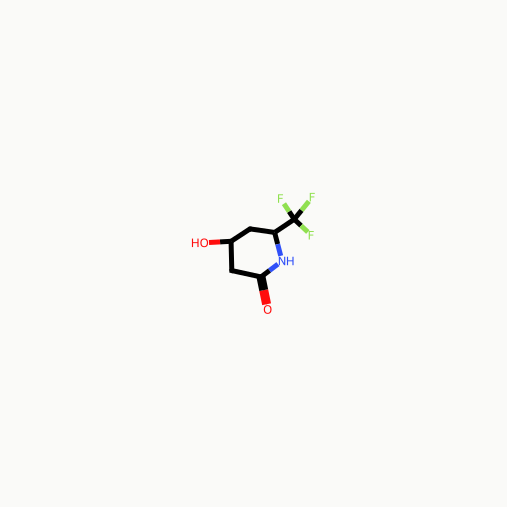 O=C1CC(O)CC(C(F)(F)F)N1